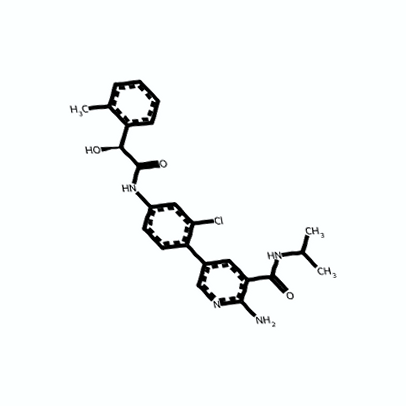 Cc1ccccc1[C@H](O)C(=O)Nc1ccc(-c2cnc(N)c(C(=O)NC(C)C)c2)c(Cl)c1